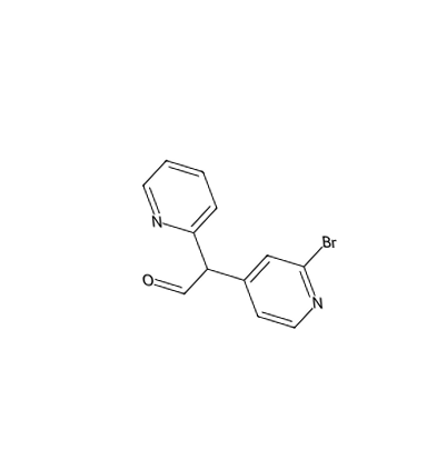 O=CC(c1ccnc(Br)c1)c1ccccn1